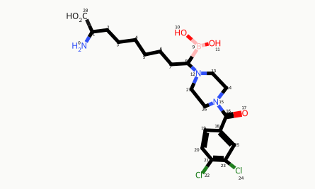 NC(CCCCCCC(B(O)O)N1CCN(C(=O)c2ccc(Cl)c(Cl)c2)CC1)C(=O)O